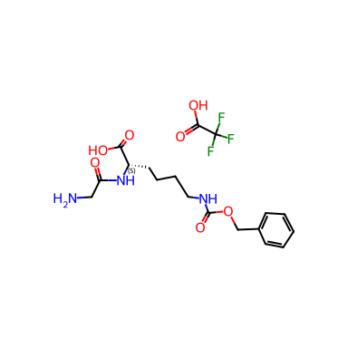 NCC(=O)N[C@@H](CCCCNC(=O)OCc1ccccc1)C(=O)O.O=C(O)C(F)(F)F